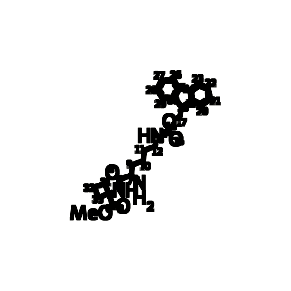 COC(=O)C1(NC(=O)C(N)CCCCNC(=O)OCC2c3ccccc3-c3ccccc32)CCC1